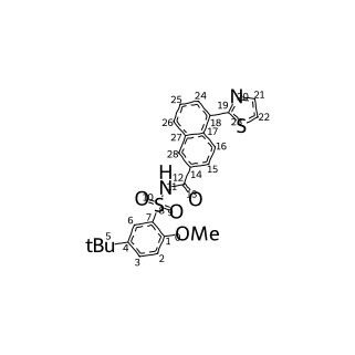 COc1ccc(C(C)(C)C)cc1S(=O)(=O)NC(=O)c1ccc2c(-c3nccs3)cccc2c1